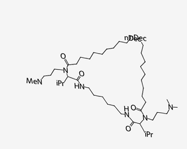 CCCCCCCCCCCCCCCCCCCC(=O)N(CCCNC)C(C(=O)NCCCCCCNC(=O)C(C(C)C)N(CCCN(C)C)C(=O)CCCCCCCCCCCCCCCCCCC)C(C)C